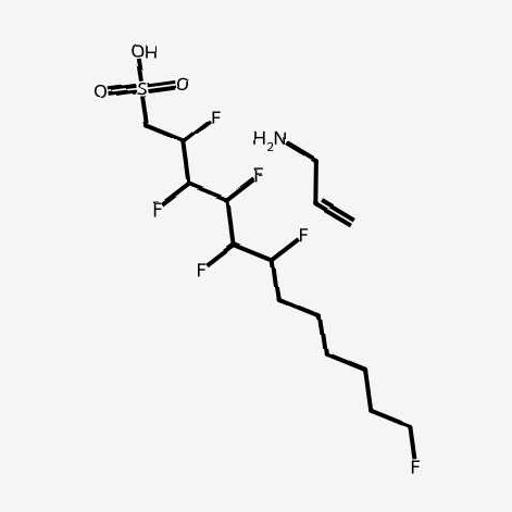 C=CCN.O=S(=O)(O)CC(F)C(F)C(F)C(F)C(F)CCCCCCF